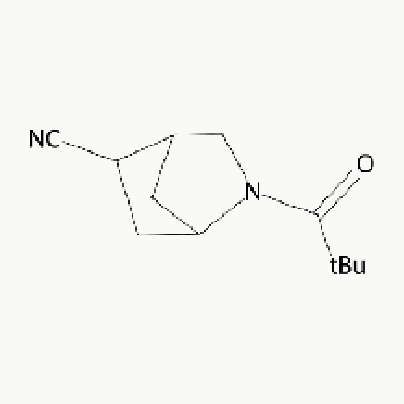 CC(C)(C)C(=O)N1CC2CC1CC2C#N